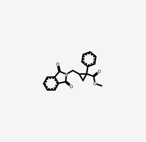 COC(=O)C1(c2ccccc2)CC1CN1C(=O)c2ccccc2C1=O